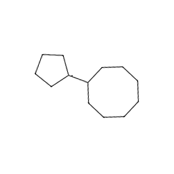 C1CCCC([C]2CCCC2)CCC1